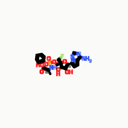 C[C@H](NP(=O)(OC[C@@]1(CF)O[C@@H](c2ccc3c(N)ncnn23)[C@H](O)[C@@H]1O)Oc1ccccc1)C(=O)O